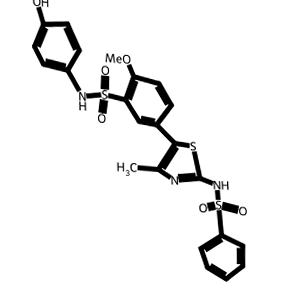 COc1ccc(-c2sc(NS(=O)(=O)c3ccccc3)nc2C)cc1S(=O)(=O)Nc1ccc(O)cc1